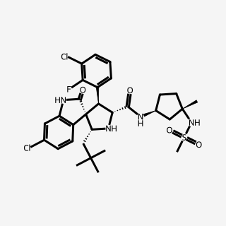 CC(C)(C)C[C@H]1N[C@@H](C(=O)N[C@H]2CC[C@](C)(NS(C)(=O)=O)C2)[C@H](c2cccc(Cl)c2F)[C@@]12C(=O)Nc1cc(Cl)ccc12